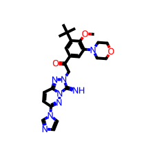 COc1c(N2CCOCC2)cc(C(=O)Cn2nc3ccc(-n4ccnc4)nn3c2=N)cc1C(C)(C)C